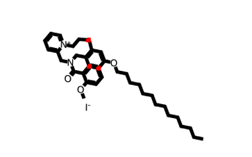 CCCCCCCCCCCCCCOc1ccc(CN(Cc2cccc[n+]2CCC)C(=O)c2ccccc2OC)c(C)c1.[I-]